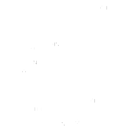 Cc1noc(C)c1-c1ccc(NC2CCC(C)CC2)c([N+](=O)[O-])c1